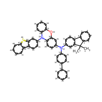 CC1(C)c2ccccc2-c2ccc(N(c3ccc(-c4ccccc4)cc3)c3ccc4c(c3)Oc3ccccc3N4c3ccc4c(c3)sc3ccccc34)cc21